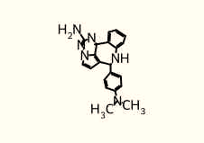 CN(C)c1ccc(C2Nc3ccccc3-c3nc(N)nn4ccc2c34)cc1